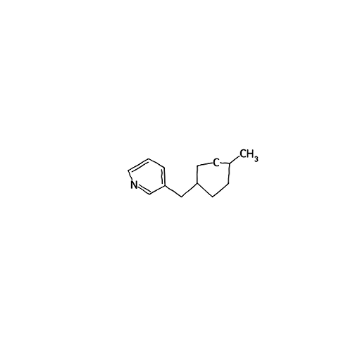 CC1CCC(Cc2cccnc2)CC1